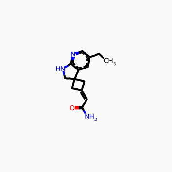 CCc1cnc2c(c1)C1(CN2)CC(=CC(N)=O)C1